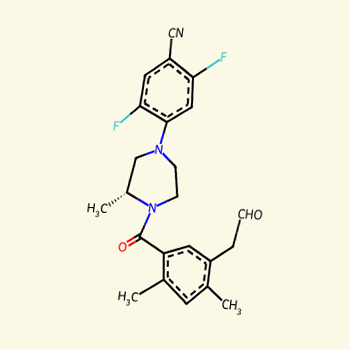 Cc1cc(C)c(C(=O)N2CCN(c3cc(F)c(C#N)cc3F)C[C@H]2C)cc1CC=O